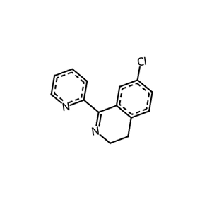 Clc1ccc2c(c1)C(c1ccccn1)=NCC2